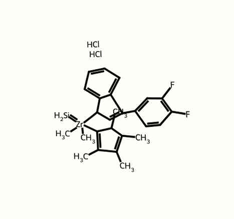 CC1=C(C)C(C)[C]([Zr]([CH3])([CH3])(=[SiH2])[CH]2C=C(c3ccc(F)c(F)c3)c3ccccc32)=C1C.Cl.Cl